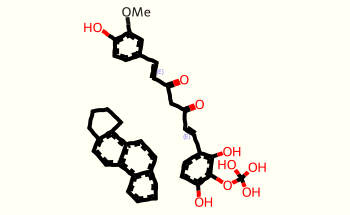 COc1cc(/C=C/C(=O)CC(=O)/C=C/c2ccc(O)c(OC(O)(O)O)c2O)ccc1O.c1ccc2c(c1)ccc1c3c(ccc12)CCCC3